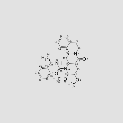 COC1CC2C(=O)N3CCc4ccccc4C3CC2N(C(=O)N[C@H](C)c2ccccc2)C1OC